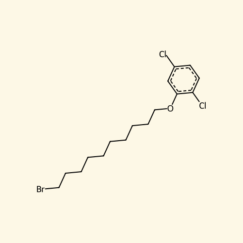 Clc1ccc(Cl)c(OCCCCCCCCCCBr)c1